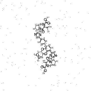 COCCOc1c(-c2ccc(-c3cnc([C@@H]4CCCN4C(=O)[C@@H](NC(=O)OC)C(C)C)[nH]3)cc2)ccc(-c2cnc([C@@H]3CCCN3C(=O)[C@H](C)NC(=O)OC)[nH]2)c1OCCOC